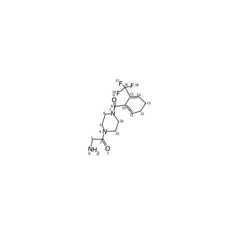 NCC(=O)N1CCN(C(=O)C2=CCCC=C2C(F)(F)F)CC1